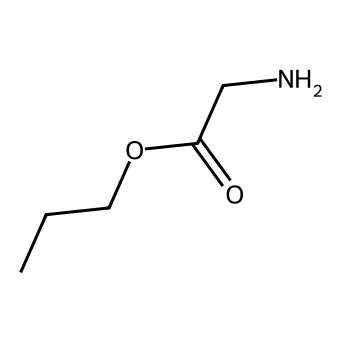 CCCOC(=O)CN